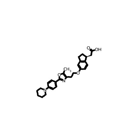 Cc1oc(-c2ccc(N3CCCCC3)cc2)nc1CCOc1ccc2c(c1)CC[C@H]2CC(=O)O